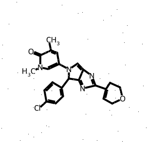 Cc1cc(N2C=C3N=C(C4=CCOCC4)N=C3C2c2ccc(Cl)cc2)cn(C)c1=O